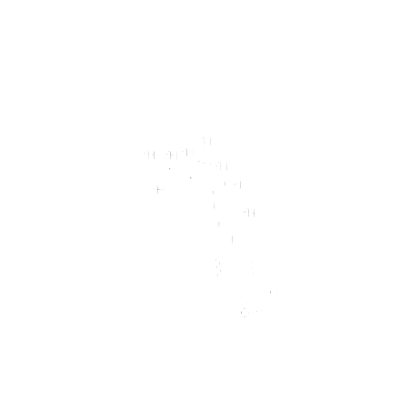 [2H]/C(=C\C(O)C(C)(C([2H])([2H])[2H])C([2H])([2H])[2H])c1ccc2c(c1)OCO2